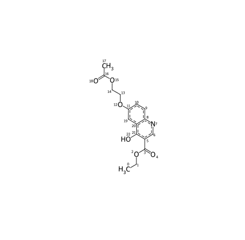 CCOC(=O)c1cnc2ccc(OCCOC(C)=O)cc2c1O